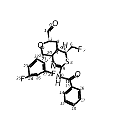 O=C[C@H]1C[C@H]2[C@@H](CF)SC(NC(=O)c3ccccc3)=N[C@@]2(c2ccc(F)cc2F)CO1